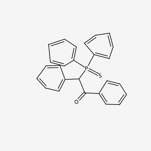 O=C(c1ccccc1)C(c1ccccc1)P(=S)(c1ccccc1)c1ccccc1